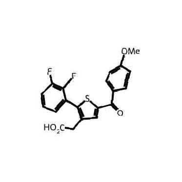 COc1ccc(C(=O)c2cc(CC(=O)O)c(-c3cccc(F)c3F)s2)cc1